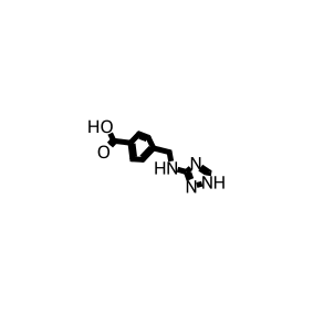 O=C(O)c1ccc(CNc2nc[nH]n2)cc1